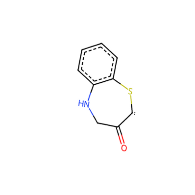 O=C1[C]Sc2ccccc2NC1